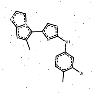 Cc1ccc(Nc2nc(-c3c(C)nc4sccn34)cs2)cc1Br